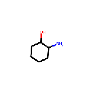 NC1CC[CH]CC1O